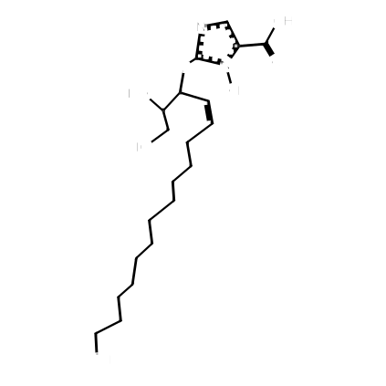 CCCCCCCCCCCC/C=C\C(Sc1ncc(C(=O)O)n1C)C(O)CO